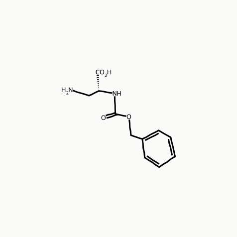 NC[C@@H](NC(=O)OCc1ccccc1)C(=O)O